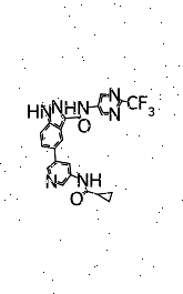 O=C(Nc1cnc(C(F)(F)F)nc1)c1n[nH]c2ccc(-c3cncc(NC(=O)C4CC4)c3)cc12